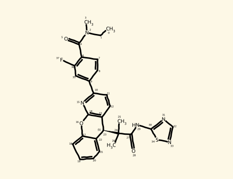 CCN(C)C(=O)c1ccc(-c2ccc3c(n2)Oc2ccccc2[C@@H]3C(C)(C)C(=O)Nc2ncns2)cc1F